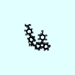 CN(C)C1CCN(c2ccc(Nc3ncc4c5ccncc5n([C@H]5CC[C@H](C)CC5)c4n3)nn2)CC1